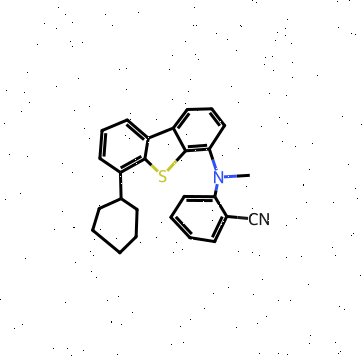 CN(c1ccccc1C#N)c1cccc2c1sc1c(C3CCCCC3)cccc12